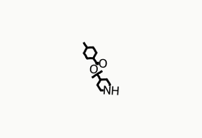 CC1CCC(C(=O)OC(C)(C)C2CCNCC2)CC1